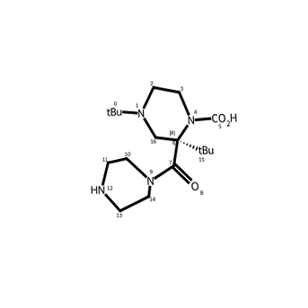 CC(C)(C)N1CCN(C(=O)O)[C@](C(=O)N2CCNCC2)(C(C)(C)C)C1